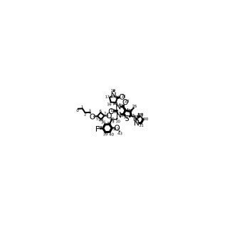 CCCCOC1CC(O[C@@H](Cn2c(=O)n([C@@H]3CCN(C)C3=O)c(=O)c3c(C)c(-n4nccn4)sc32)c2cc(F)ccc2OC)C1